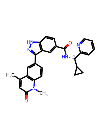 Cc1cc(=O)n(C)c2ccc(-c3n[nH]c4ccc(C(=O)N[C@H](c5ccccn5)C5CC5)cc34)cc12